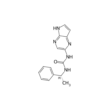 C[C@@H](NC(=O)Nc1cnc2[nH]ccc2n1)c1ccccc1